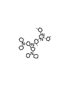 Cc1cccc(-c2cc(-c3ccc(-n4c5ccc(N(c6ccccc6)c6ccccc6)cc5c5cc(N(c6ccccc6)c6ccccc6)ccc54)c(C)c3)nc(-c3cccc(C)c3)n2)c1